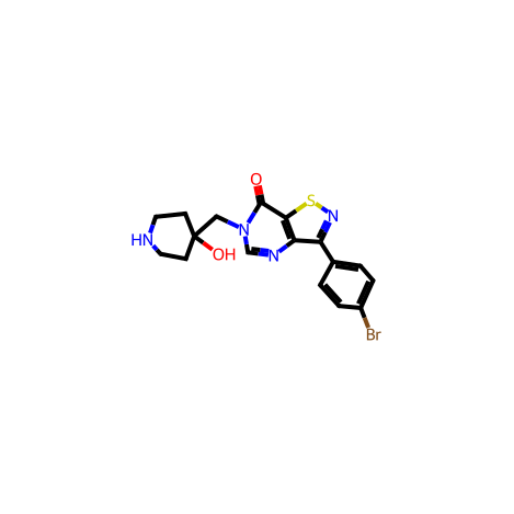 O=c1c2snc(-c3ccc(Br)cc3)c2ncn1CC1(O)CCNCC1